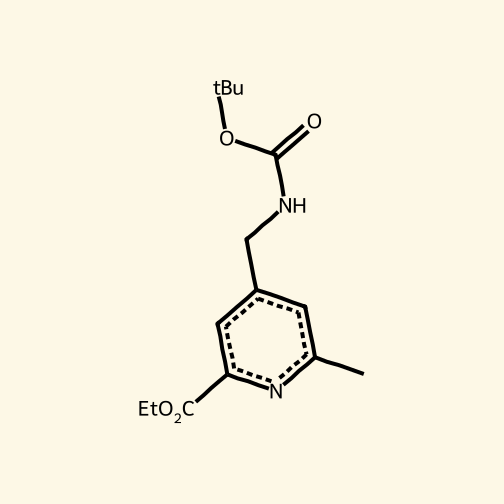 CCOC(=O)c1cc(CNC(=O)OC(C)(C)C)cc(C)n1